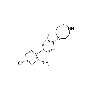 FC(F)(F)c1cc(Cl)ccc1-c1ccc2c(c1)CC1CCNCCN21